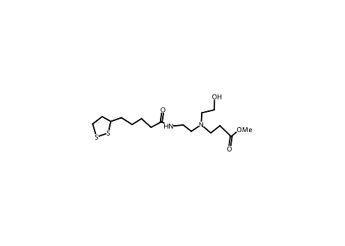 COC(=O)CCN(CCO)CCNC(=O)CCCCC1CCSS1